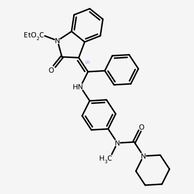 CCOC(=O)N1C(=O)/C(=C(\Nc2ccc(N(C)C(=O)N3CCCCC3)cc2)c2ccccc2)c2ccccc21